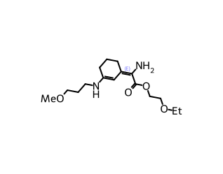 CCOCCOC(=O)/C(N)=C1\C=C(NCCCOC)CCC1